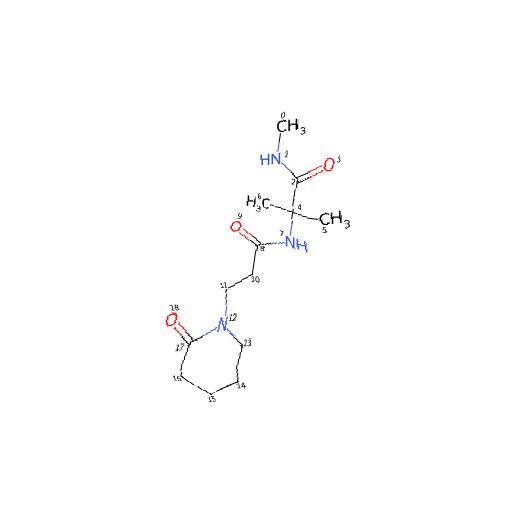 CNC(=O)C(C)(C)NC(=O)CCN1CCCCC1=O